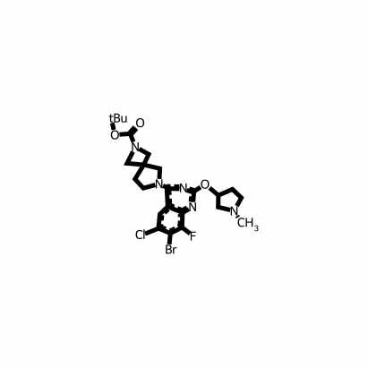 CN1CCC(Oc2nc(N3CCC4(CN(C(=O)OC(C)(C)C)C4)C3)c3cc(Cl)c(Br)c(F)c3n2)C1